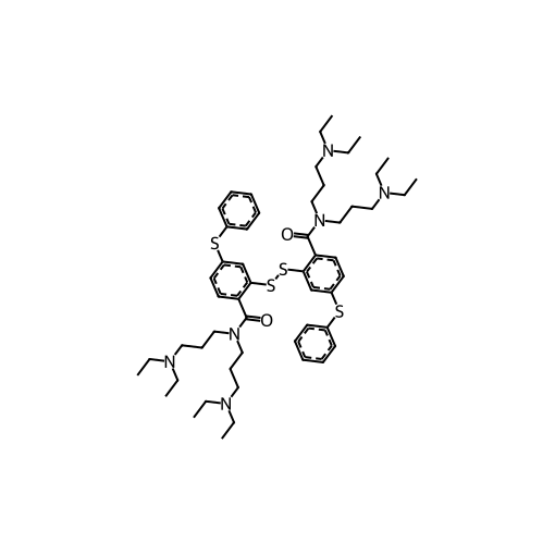 CCN(CC)CCCN(CCCN(CC)CC)C(=O)c1ccc(Sc2ccccc2)cc1SSc1cc(Sc2ccccc2)ccc1C(=O)N(CCCN(CC)CC)CCCN(CC)CC